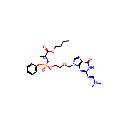 CCCCOC(=O)[C@H](C)NP(=O)(OCCOCn1cnc2c(=O)[nH]c(/N=C/N(C)C)nc21)Oc1ccccc1